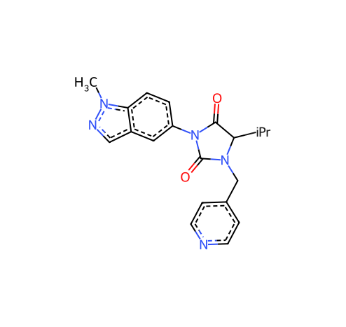 CC(C)C1C(=O)N(c2ccc3c(cnn3C)c2)C(=O)N1Cc1ccncc1